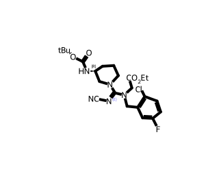 CCOC(=O)CN(Cc1cc(F)ccc1Cl)/C(=N/C#N)N1CCC[C@@H](NC(=O)OC(C)(C)C)C1